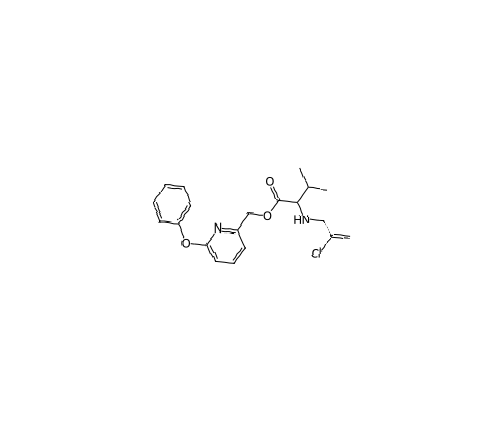 C=C(Cl)CNC(C(=O)OCc1cccc(Oc2ccccc2)n1)C(C)C